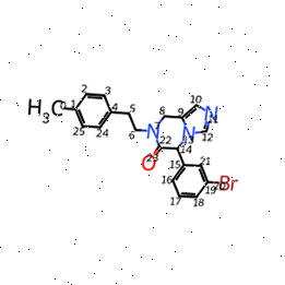 Cc1ccc(CCN2Cc3cncn3C(c3cccc(Br)c3)C2=O)cc1